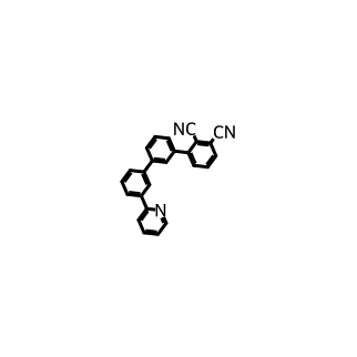 N#Cc1cccc(-c2cccc(-c3cccc(-c4ccccn4)c3)c2)c1C#N